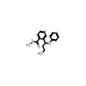 CCCC(Oc1ccccc1)c1ccccc1C(=O)OC